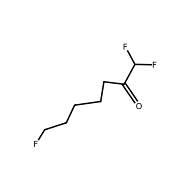 O=C(CCCCCF)C(F)F